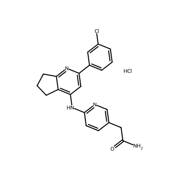 Cl.NC(=O)Cc1ccc(Nc2cc(-c3cccc(Cl)c3)nc3c2CCC3)nc1